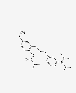 CC(C)C(=O)Oc1ccc(CO)cc1CCCc1cccc(N(C(C)C)C(C)C)c1